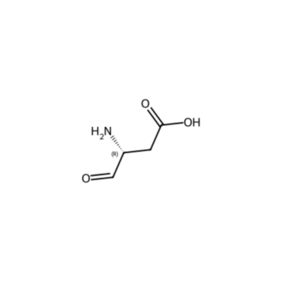 N[C@@H](C=O)CC(=O)O